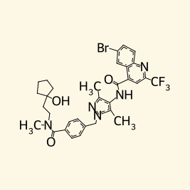 Cc1nn(Cc2ccc(C(=O)N(C)CCC3(O)CCCC3)cc2)c(C)c1NC(=O)c1cc(C(F)(F)F)nc2ccc(Br)cc12